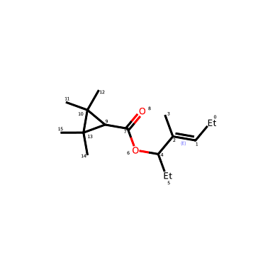 CC/C=C(\C)C(CC)OC(=O)C1C(C)(C)C1(C)C